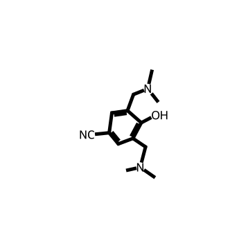 CN(C)Cc1cc(C#N)cc(CN(C)C)c1O